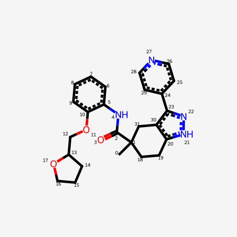 CC1(C(=O)Nc2ccccc2OCC2CCCO2)CCc2[nH]nc(-c3ccncc3)c2C1